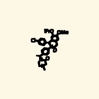 COc1cc2c(cc1OC(C)C)[C@H](c1ccc(Cl)cc1)N(c1ccc([C@H](C)N3CCN(C)CC3=O)cc1)C(=O)C2